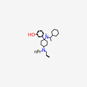 C=CCN(CCC)C1CCC(c2cccc(O)c2)(N(C)C(C)C2CCCCC2)CC1